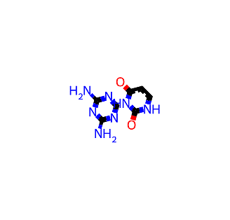 Nc1ncnc(N)n1.O=c1cc[nH]c(=O)[nH]1